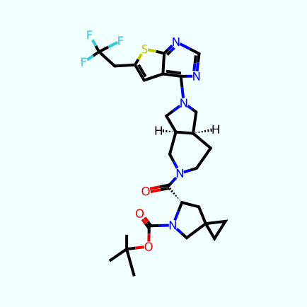 CC(C)(C)OC(=O)N1CC2(CC2)C[C@H]1C(=O)N1CC[C@@H]2CN(c3ncnc4sc(CC(F)(F)F)cc34)C[C@@H]2C1